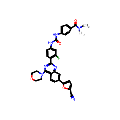 CN(C)C(=O)c1ccc(NC(=O)Nc2ccc(-c3nc(N4CCOCC4)c4ccc(-c5ccc(C#N)o5)cc4n3)c(F)c2)cc1